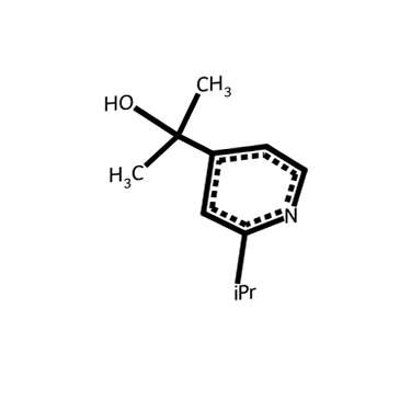 CC(C)c1cc(C(C)(C)O)ccn1